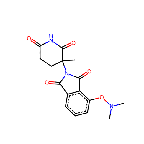 CN(C)Oc1cccc2c1C(=O)N(C1(C)CCC(=O)NC1=O)C2=O